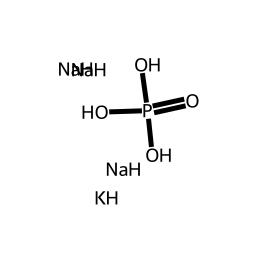 O=P(O)(O)O.[KH].[NaH].[NaH].[NaH]